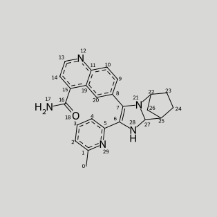 Cc1cccc(C2=C(c3ccc4nccc(C(N)=O)c4c3)N3C4CCC(C4)C3N2)n1